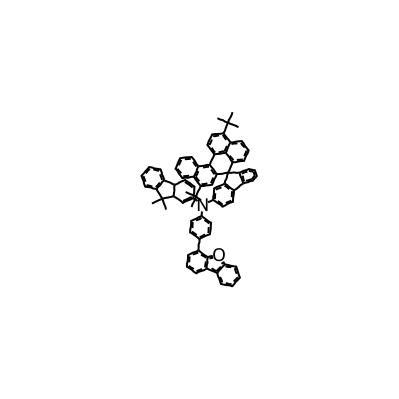 CC(C)(C)c1cc2c(c3ccccc13)-c1ccc(C(C)(C)C)c3cccc(c13)C21c2ccccc2-c2ccc(N(C3=CC4C(C=C3)c3ccccc3C4(C)C)c3ccc(-c4cccc5c4oc4ccccc45)cc3)cc21